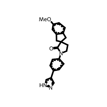 COc1ccc2c(c1)CC1(CCN(c3ccc(-c4cn[nH]c4)cc3)C1=O)C2